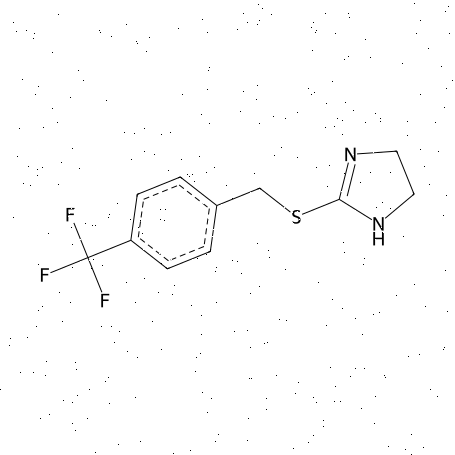 FC(F)(F)c1ccc(CSC2=NCCN2)cc1